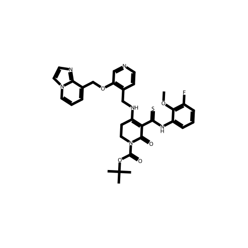 COc1c(F)cccc1NC(=S)C1=C(NCc2ccncc2OCc2cccn3ccnc23)CCN(C(=O)OC(C)(C)C)C1=O